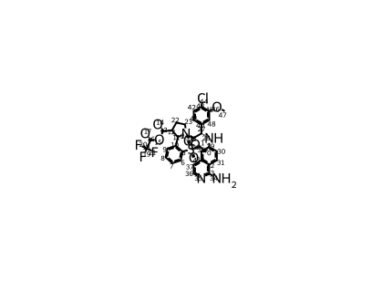 CCS(=O)(=O)c1ccccc1C1C(C(=O)OC(=O)C(F)(F)F)CCN1C(=O)[C@@H](Nc1ccc2c(N)nccc2c1)c1ccc(Cl)c(OC)c1